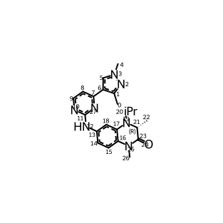 Cc1nn(C)cc1-c1ccnc(Nc2ccc3c(c2)N(C(C)C)[C@H](C)C(=O)N3C)n1